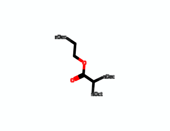 CCCCCCCCCCCCOC(=O)C(CCCCCCCC)CCCCCCCCCC